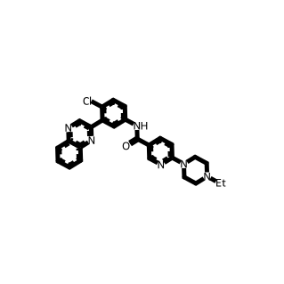 CCN1CCN(c2ccc(C(=O)Nc3ccc(Cl)c(-c4cnc5ccccc5n4)c3)cn2)CC1